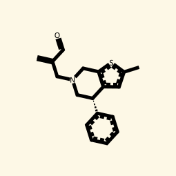 C=C(C=O)CN1Cc2sc(C)cc2[C@H](c2ccccc2)C1